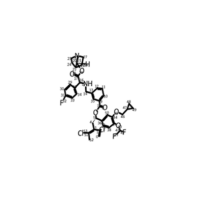 C=C(Cl)/C(C[C@H](OC(=O)c1cccc(CNC(C(=O)O[C@H]2CN3CCC2CC3)c2ccc(F)cc2)c1)c1ccc(OC(F)F)c(OCC2CC2)c1)=C(\C)Cl